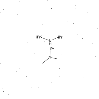 CC(C)N(C)C.CC(C)NC(C)C